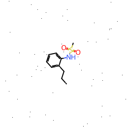 CCCc1cc[c]cc1NS(C)(=O)=O